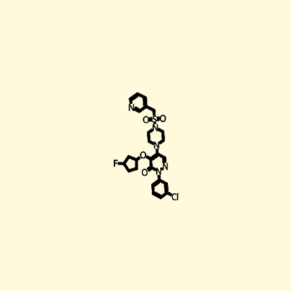 O=c1c(OC2CCC(F)C2)c(N2CCN(S(=O)(=O)Cc3cccnc3)CC2)cnn1-c1cccc(Cl)c1